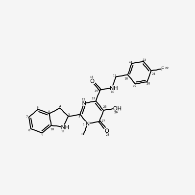 Cn1c(C2Cc3ccccc3N2)nc(C(=O)NCc2ccc(F)cc2)c(O)c1=O